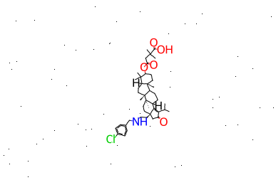 CC(C)C1=C2[C@H]3CCC4[C@@]5(C)CC[C@H](OC(=O)CC(C)(C)C(=O)O)C(C)(C)[C@H]5CC[C@@]4(C)[C@]3(C)CC[C@@]2(CCNCc2ccc(Cl)cc2)CC1=O